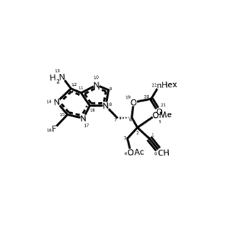 C#CC(COC(C)=O)(OC)[C@H](Cn1cnc2c(N)nc(F)nc21)OC(=O)CCCCCC